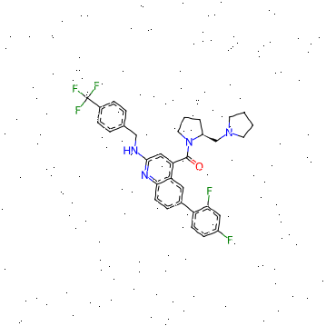 O=C(c1cc(NCc2ccc(C(F)(F)F)cc2)nc2ccc(-c3ccc(F)cc3F)cc12)N1CCC[C@H]1CN1CCCC1